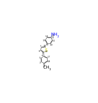 Cc1ccc(-c2ccc(-c3ccc(N)cc3)s2)cc1